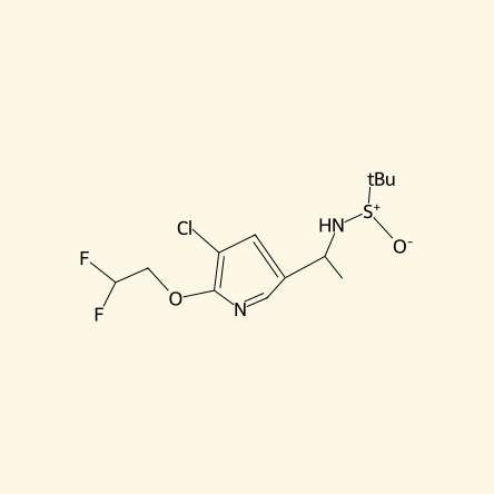 CC(N[S+]([O-])C(C)(C)C)c1cnc(OCC(F)F)c(Cl)c1